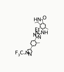 CCn1nc(-c2ccc(-c3cnn(CC(F)(F)F)c3)cc2C)nc1Nc1cc2c(cc1C)C(=O)NC2C